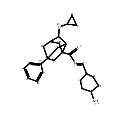 NC1CCC(/C=N/C(=S)C23CC4CC(c5ccccc5)(CC2C4OC2CC2)C3)CC1